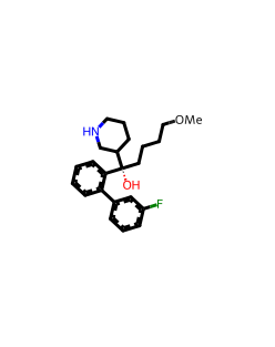 COCCCC[C@@](O)(c1ccccc1-c1cccc(F)c1)C1CCCNC1